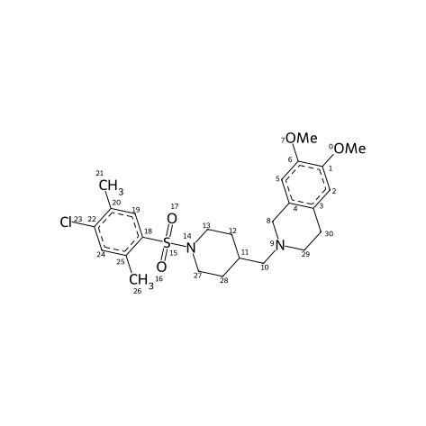 COc1cc2c(cc1OC)CN(CC1CCN(S(=O)(=O)c3cc(C)c(Cl)cc3C)CC1)CC2